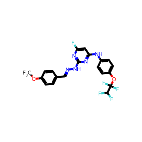 Fc1cc(Nc2ccc(OC(F)(F)C(F)F)cc2)nc(NN=Cc2ccc(OC(F)(F)F)cc2)n1